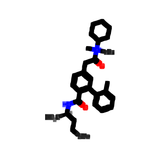 CCCC[N+](C)(C(=O)Cc1ccc(C(=O)N[C@@H](CCSC)C(=O)O)c(-c2ccccc2C)c1)C1CCCCC1